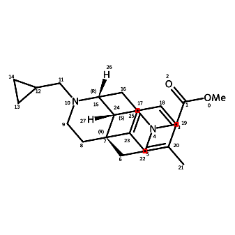 COC(=O)CN1CC[C@]23CCN(CC4CC4)[C@H](Cc4ccc(C)cc42)[C@@H]3C1